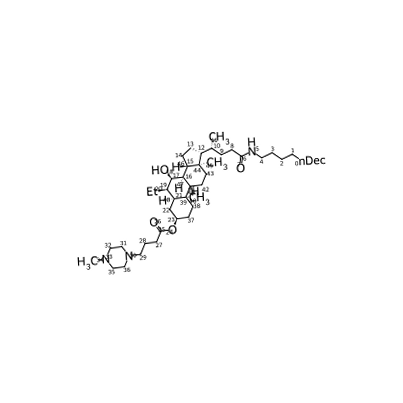 CCCCCCCCCCCCCCNC(=O)CC[C@@H](C)[C@H]1CC[C@H]2[C@@H]3[C@H](O)[C@H](CC)[C@@H]4C[C@H](OC(=O)CCCN5CCN(C)CC5)CC[C@]4(C)[C@H]3CC[C@]12C